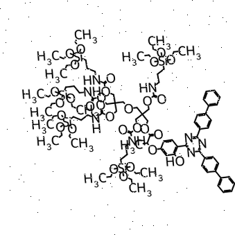 CCO[Si](CCCNC(=O)OCC(COCC(COC(=O)NCCC[Si](OCC)(OCC)OCC)(COC(=O)NCCC[Si](OCC)(OCC)OCC)COC(=O)C(C)Oc1ccc(-c2nc(-c3ccc(-c4ccccc4)cc3)nc(-c3ccc(-c4ccccc4)cc3)n2)c(O)c1)(COC(=O)NCCC[Si](OCC)(OCC)OCC)COC(=O)NCCC[Si](OCC)(OCC)OCC)(OCC)OCC